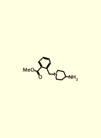 COC(=O)c1ccccc1CN1CCC(N)CC1